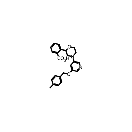 Cc1ccc(COc2cncc(N3CCOC(c4ccccc4C(=O)O)C3)c2)cc1